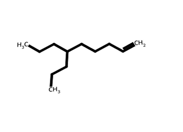 C=CCCCC(CCC)CCC